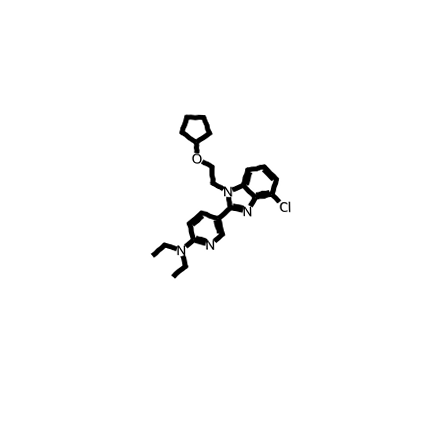 CCN(CC)c1ccc(-c2nc3c(Cl)cccc3n2CCOC2CCCC2)cn1